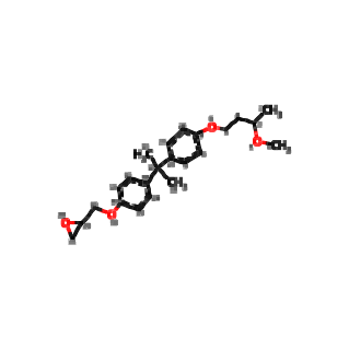 COC(C)CCOc1ccc(C(C)(C)c2ccc(OCC3CO3)cc2)cc1